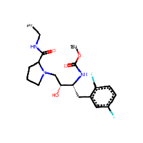 CC(C)CNC(=O)C1CCCN1C[C@@H](O)[C@@H](Cc1cc(F)ccc1F)NC(=O)OC(C)(C)C